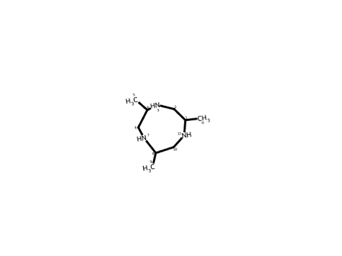 CC1CNC(C)CNC(C)CN1